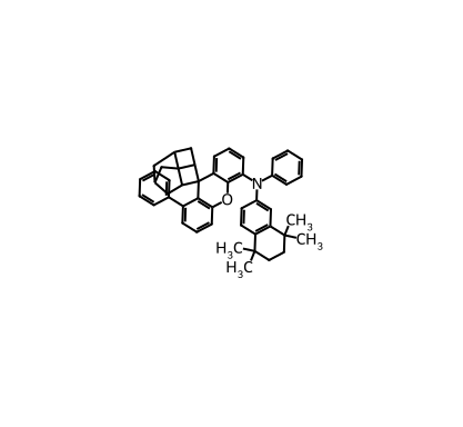 CC1(C)CCC(C)(C)c2cc(N(c3ccccc3)c3cccc4c3Oc3cccc(-c5ccccc5)c3C43C4CC5CC6CC3C64C5)ccc21